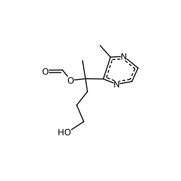 Cc1nccnc1C(C)(CCCO)OC=O